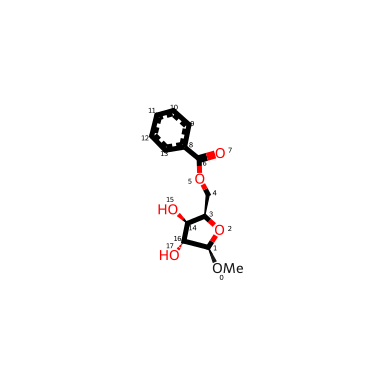 CO[C@@H]1O[C@H](COC(=O)c2ccccc2)[C@H](O)[C@H]1O